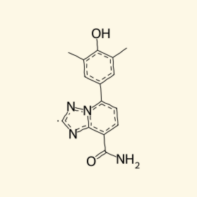 Cc1cc(-c2ccc(C(N)=O)c3n[c]nn23)cc(C)c1O